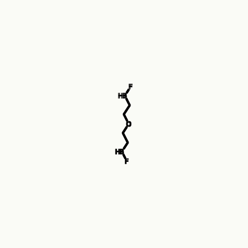 FBCCOCCBF